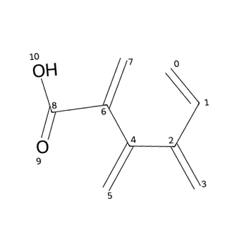 C=CC(=C)C(=C)C(=C)C(=O)O